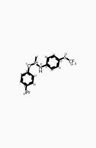 CC(C)c1ccc(OP(C)Nc2ccc(SC(F)(F)F)cc2)cc1